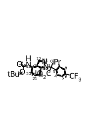 CC(C)C(C(=O)O)(c1ccc(C(F)(F)F)cc1)n1ncc2c(NC(=O)OC(C)(C)C)cccc21